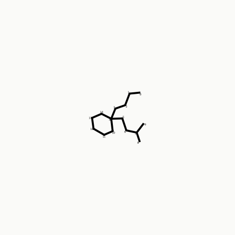 CCCCC1(CCC(C)C)CCCCC1